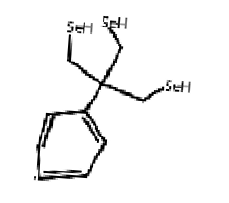 [SeH]CC(C[SeH])(C[SeH])c1cc[c]cc1